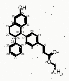 CCOC(=O)C=Cc1ccc([C@@H]2c3ccc(O)cc3CC[C@@H]2c2ccccc2)cc1